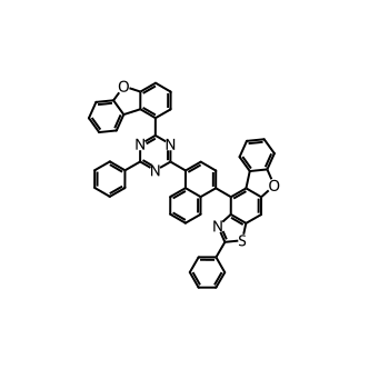 c1ccc(-c2nc(-c3ccc(-c4c5nc(-c6ccccc6)sc5cc5oc6ccccc6c45)c4ccccc34)nc(-c3cccc4oc5ccccc5c34)n2)cc1